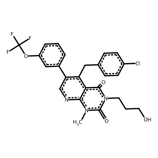 Cn1c(=O)n(CCCO)c(=O)c2c(Cc3ccc(Cl)cc3)c(-c3cccc(OC(F)(F)F)c3)cnc21